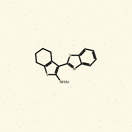 CC(=O)Nc1sc2c(c1-c1nc3ccccc3s1)CCCC2